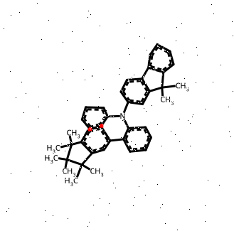 CC1(C)c2ccccc2-c2ccc(N(c3ccccc3)c3ccccc3-c3ccc4c(c3)C(C)(C)C(C)(C)C4(C)C)cc21